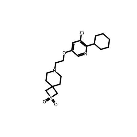 O=S1(=O)CC2(CCN(CCOc3cnc(C4CCCCC4)c(Cl)c3)CC2)C1